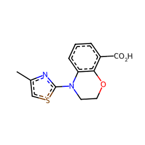 Cc1csc(N2CCOc3c(C(=O)O)cccc32)n1